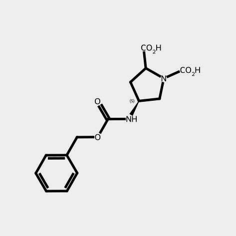 O=C(N[C@H]1CC(C(=O)O)N(C(=O)O)C1)OCc1ccccc1